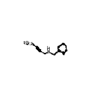 CC(C)(C)C#CCNCc1ccccc1